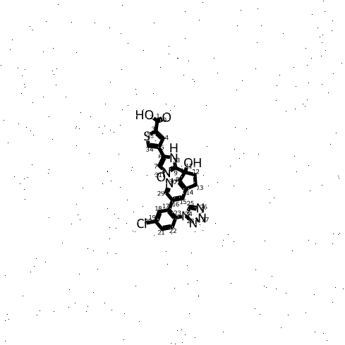 O=C(O)c1cc(-c2cnc(C3(O)CCc4cc(-c5cc(Cl)ccc5-n5cnnn5)c[n+]([O-])c43)[nH]2)cs1